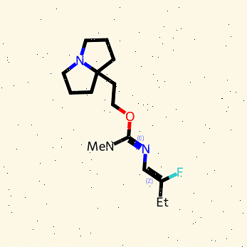 CC/C(F)=C/N=C(\NC)OCCC12CCCN1CCC2